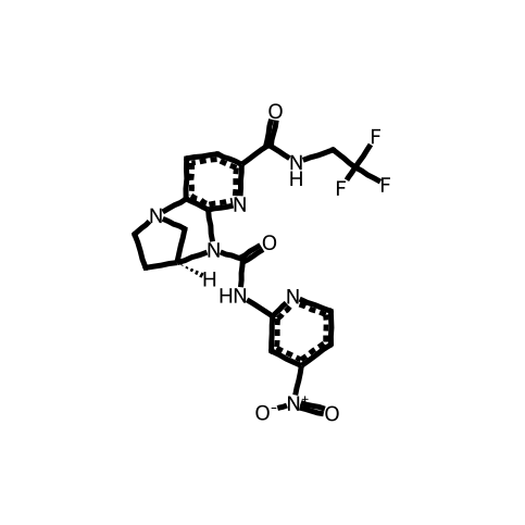 O=C(NCC(F)(F)F)c1ccc2c(n1)N(C(=O)Nc1cc([N+](=O)[O-])ccn1)[C@H]1CCN2C1